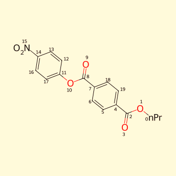 CCCOC(=O)c1ccc(C(=O)Oc2ccc([N+](=O)[O-])cc2)cc1